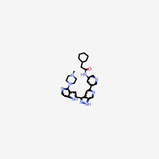 CN1CCN(c2nccc3[nH]c(-c4n[nH]c5cnc(-c6cncc(NC(=O)CC7CCCCC7)c6)cc45)cc23)CC1